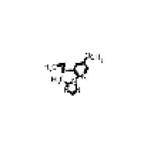 C=CNc1cc(OC)cnc1-n1ncnc1C